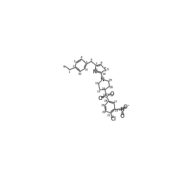 CCc1ccc(Cc2csc(N3CCC(S(=O)(=O)c4ccc(Cl)c([N+](=O)[O-])c4)CC3)n2)cc1